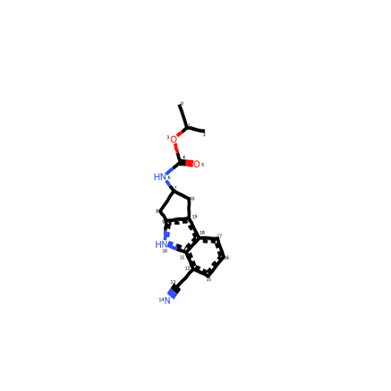 CC(C)OC(=O)NC1Cc2[nH]c3c(C#N)cccc3c2C1